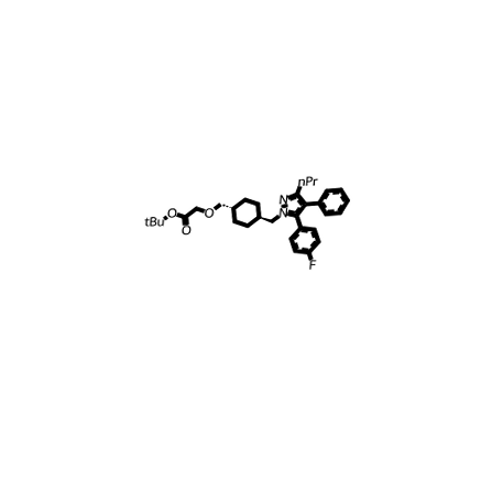 CCCc1nn(C[C@H]2CC[C@H](COCC(=O)OC(C)(C)C)CC2)c(-c2ccc(F)cc2)c1-c1ccccc1